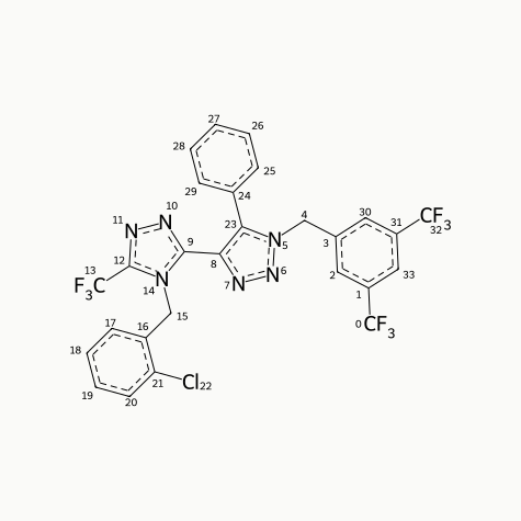 FC(F)(F)c1cc(Cn2nnc(-c3nnc(C(F)(F)F)n3Cc3ccccc3Cl)c2-c2ccccc2)cc(C(F)(F)F)c1